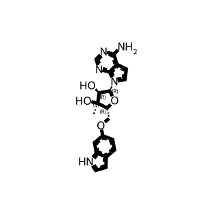 C[C@@]1(O)[C@@H](COc2ccc3cc[nH]c3c2)O[C@@H](n2ccc3c(N)ncnc32)[C@@H]1O